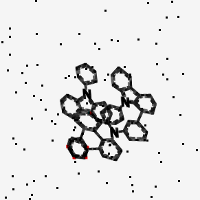 c1ccc(-c2ccccc2-c2c(-c3ccccc3)cccc2N(c2cccc(-c3cccc4c5ccccc5n(-c5ccccc5)c34)c2)c2ccc3c(c2)c2ccccc2n3-c2ccccc2)cc1